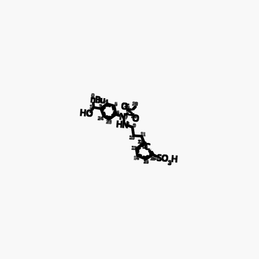 CCCCC(O)c1ccc(N(NCCCc2cccc(S(=O)(=O)O)c2)S(C)(=O)=O)cc1